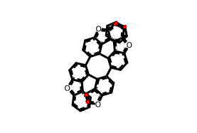 c1ccc2c(c1)oc1ccc3c(c12)-c1c(ccc2oc4ccccc4c12)-c1ccc2oc4ccccc4c2c1-c1c-3ccc2oc3ccccc3c12